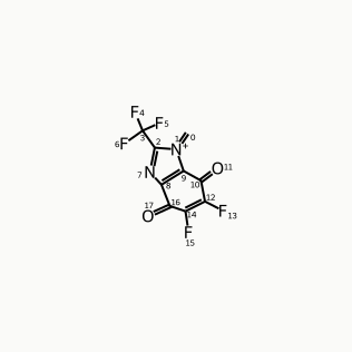 C=[N+]1C(C(F)(F)F)=NC2=C1C(=O)C(F)=C(F)C2=O